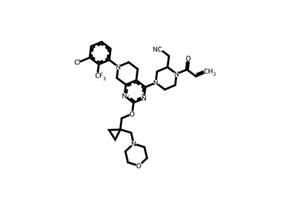 C=CC(=O)N1CCN(c2nc(OCC3(CN4CCOCC4)CC3)nc3c2CCN(c2cccc(Cl)c2C(F)(F)F)C3)CC1CC#N